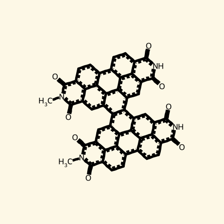 Cn1c(=O)c2ccc3c4ccc5c(=O)[nH]c(=O)c6cc7c8c9cc%10c(=O)[nH]c(=O)c%11ccc%12c%13ccc%14c(=O)n(C)c(=O)c%15cc(c8c8cc(c1=O)c2c3c8c7c4c56)c(c%13c%14%15)c9c%12c%11%10